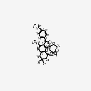 CC(C)c1nc2c(c3c1C(c1ccc(C(F)(F)F)cc1)OC31CCOCC1)C(O)CC(C)(C)C2